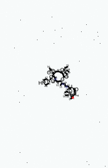 CCC[C@@H](C)[C@H]1O[C@@H]1CC(C)(/C=C/C=C(\C)[C@H]1OC(=O)C[C@H](O[Si](CC)(CC)CC)CC[C@@](C)(OC(C)=O)[C@@H](OC(=O)N2CCNCC2)/C=C/[C@@H]1C)O[Si](CC)(CC)CC